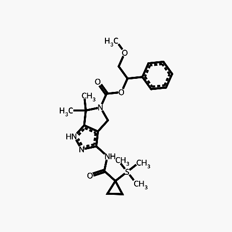 COCC(OC(=O)N1Cc2c(NC(=O)C3(S(C)(C)C)CC3)n[nH]c2C1(C)C)c1ccccc1